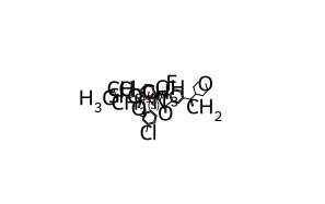 C=C(c1cc(F)c2c(c1)C(=O)N([C@H](c1ccc(Cl)cc1)[C@H](C)C(=O)OCC[Si](C)(C)C)[C@@]2(O)c1ccc(Cl)cc1)C1CCOCC1